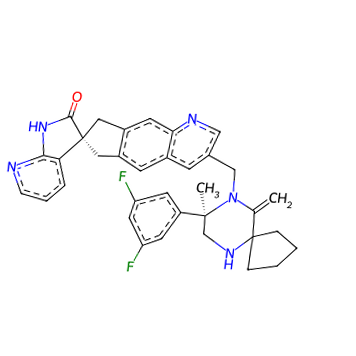 C=C1N(Cc2cnc3cc4c(cc3c2)C[C@@]2(C4)C(=O)Nc3ncccc32)[C@](C)(c2cc(F)cc(F)c2)CNC12CCCC2